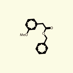 COc1cccc(CC(=O)OCc2ccccc2)c1